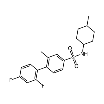 Cc1cc(S(=O)(=O)NC2CCC(C)CC2)ccc1-c1ccc(F)cc1F